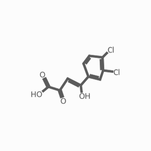 O=C(O)C(=O)C=C(O)c1ccc(Cl)c(Cl)c1